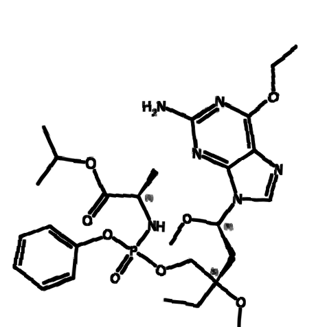 CCOc1nc(N)nc2c1ncn2[C@@H](C[C@@](CC)(COP(=O)(N[C@H](C)C(=O)OC(C)C)Oc1ccccc1)OC)OC